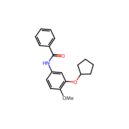 COc1ccc(NC(=O)c2ccccc2)cc1OC1CCCC1